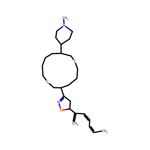 C=C(/C=C\C=C/C)C1CC(C2CCCCCCC(C3CCN(C)CC3)CCCCC2)=NO1